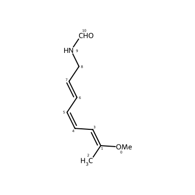 CO/C(C)=C/C=C\C=C\CNC=O